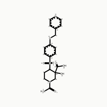 NC(=O)N1CCC(S(=O)(=O)c2ccc(OCc3ccncc3)cc2)C(O)(C(=O)O)C1